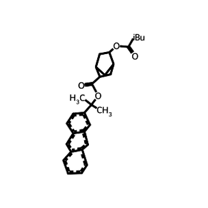 CCC(C)C(=O)OC1CC2CC1CC2C(=O)OC(C)(C)c1ccc2cc3ccccc3cc2c1